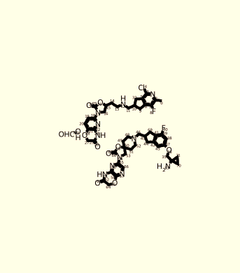 Cc1nc(Cl)c2c(c1F)CC(CNCCC1CN(c3ccc4c(n3)NC(=O)CO4)C(=O)O1)C2.NC1(COc2cc(F)c3c(c2)CC(CN2CCC4(CC2)CN(c2cnc5c(n2)NC(=O)CO5)C(=O)O4)C3)CC1.O=CO